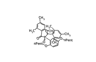 CCCCCOc1ccc(OCCCCC)c(P(=O)(C(=O)c2c(C)cc(C)cc2C)C(=O)c2c(C)cc(C)cc2C)c1